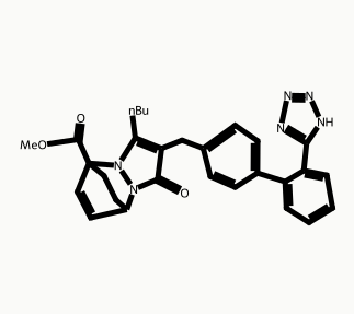 CCCCc1c(Cc2ccc(-c3ccccc3-c3nnn[nH]3)cc2)c(=O)n2n1C1(C(=O)OC)C=CC2CC1